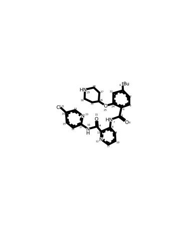 CC(C)(C)c1ccc(C(=O)Nc2cccnc2C(=O)Nc2ccc(Cl)cn2)c(OC2CCNCC2)c1